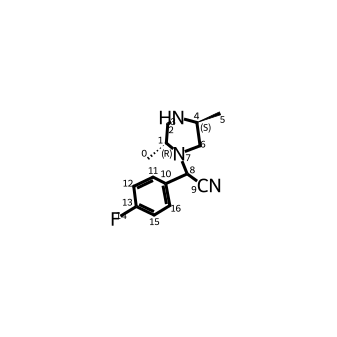 C[C@@H]1CN[C@@H](C)CN1C(C#N)c1ccc(F)cc1